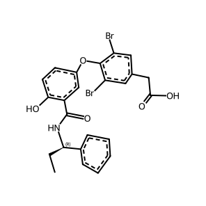 CC[C@@H](NC(=O)c1cc(Oc2c(Br)cc(CC(=O)O)cc2Br)ccc1O)c1ccccc1